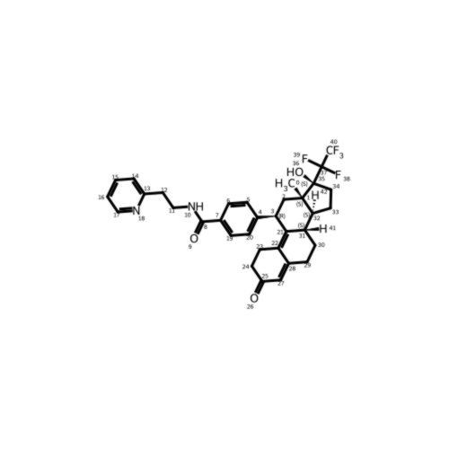 C[C@]12C[C@H](c3ccc(C(=O)NCCc4ccccn4)cc3)C3=C4CCC(=O)C=C4CC[C@H]3[C@@H]1CC[C@@]2(O)C(F)(F)C(F)(F)F